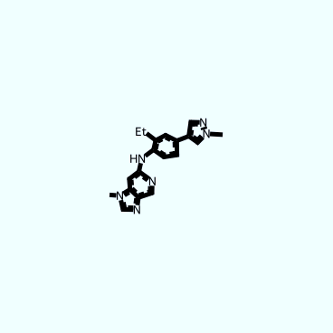 CCc1cc(-c2cnn(C)c2)ccc1Nc1cc2c(cn1)ncn2C